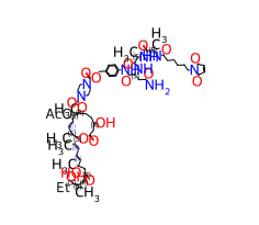 CC[C@H](O)[C@@H](C)[C@H]1O[C@@H]1CC(C)(O)/C=C/C=C(\C)[C@H]1OC(=O)C[C@H](O)CC[C@@](C)(OC(=O)N2CCN(C(=O)OCc3ccc(NC(=O)[C@H](CC(N)=O)NC(=O)[C@H](C)NC(=O)[C@H](C)NC(=O)CCCCCN4C(=O)C=CC4=O)cc3)CC2)[C@@H](OC(C)=O)/C=C/[C@@H]1C